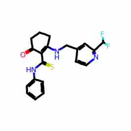 O=C1CCCC(NCc2ccnc(C(F)F)c2)=C1C(=S)Nc1ccccc1